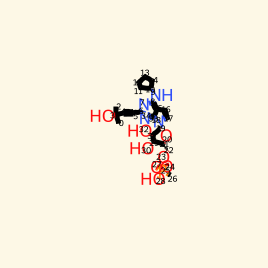 CC(C)(O)C#Cc1nc(NC2CCCC2)c2ccn([C@@H]3O[C@H](COOP(C)(=O)O)[C@@H](O)[C@H]3O)c2n1